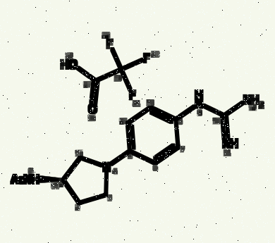 CC(=O)N[C@@H]1CCN(c2ccc(NC(=N)N)cc2)C1.O=C(O)C(F)(F)F